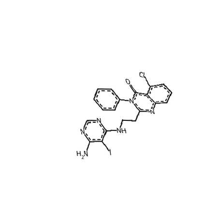 Nc1ncnc(NCCc2nc3cccc(Cl)c3c(=O)n2-c2ccccc2)c1I